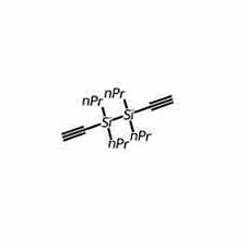 C#C[Si](CCC)(CCC)[Si](C#C)(CCC)CCC